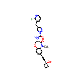 CN1C(=O)C(NC(=O)n2cc(Cc3cccnc3F)cn2)COc2ccc(C#CC3(O)CCC3)cc21